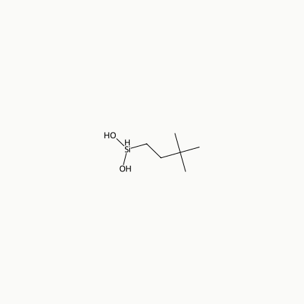 CC(C)(C)CC[SiH](O)O